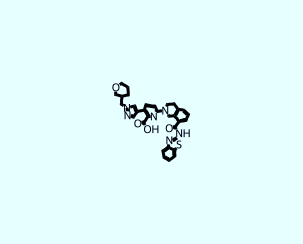 O=C(Nc1nc2ccccc2s1)c1cccc2c1CN(c1ccc(-c3cnn(CC4CCCOC4)c3)c(C(=O)O)n1)CC2